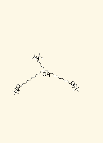 CC(C)N(CCCCC(O)(CCCCCCCCCCO[Si](C)(C)C(C)(C)C)CCCCCCCCCCO[Si](C)(C)C(C)(C)C)C(C)C